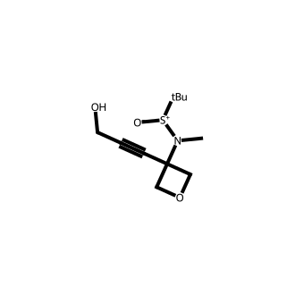 CN([S+]([O-])C(C)(C)C)C1(C#CCO)COC1